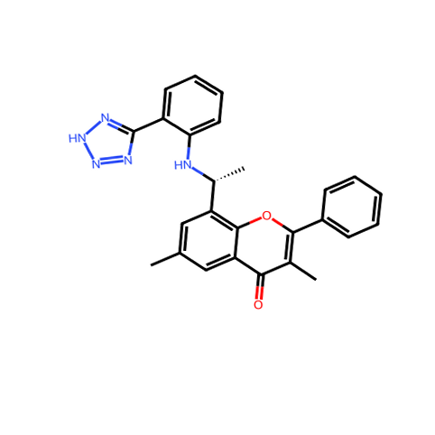 Cc1cc([C@@H](C)Nc2ccccc2-c2nn[nH]n2)c2oc(-c3ccccc3)c(C)c(=O)c2c1